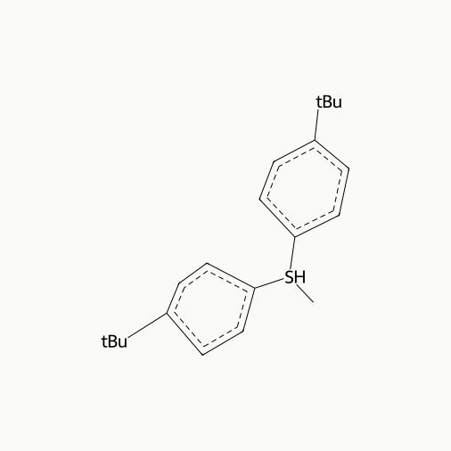 C[SH](c1ccc(C(C)(C)C)cc1)c1ccc(C(C)(C)C)cc1